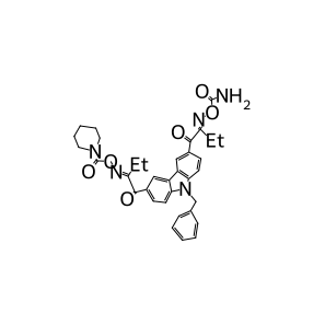 CC/C(=N\OC(N)=O)C(=O)c1ccc2c(c1)c1cc(C(=O)/C(CC)=N/OC(=O)N3CCCCC3)ccc1n2Cc1ccccc1